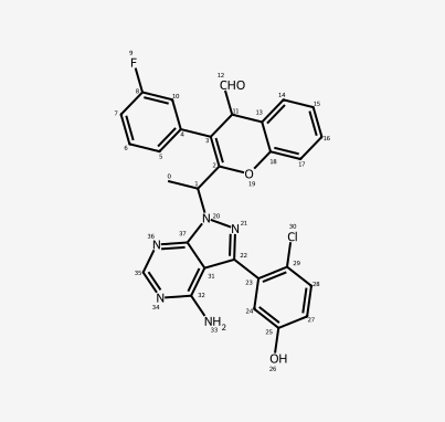 CC(C1=C(c2cccc(F)c2)C(C=O)c2ccccc2O1)n1nc(-c2cc(O)ccc2Cl)c2c(N)ncnc21